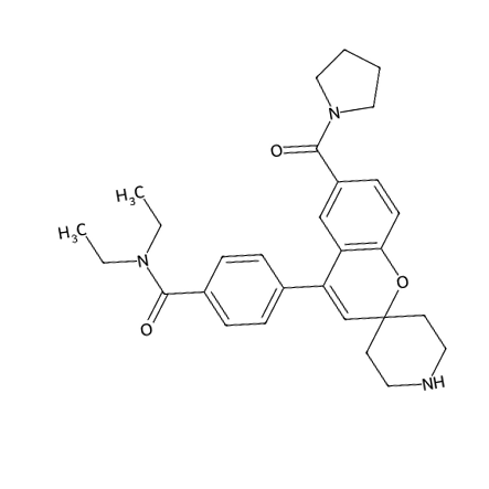 CCN(CC)C(=O)c1ccc(C2=CC3(CCNCC3)Oc3ccc(C(=O)N4CCCC4)cc32)cc1